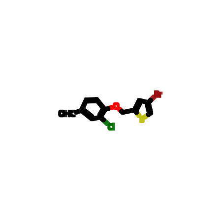 O=Cc1ccc(OCc2cc(Br)cs2)c(Cl)c1